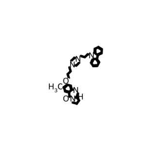 Cc1cc2c(cc1OCCCCN1CCN(CCCn3c4ccccc4c4ccccc43)CC1)N=C[C@@H]1CCCN1C2=O